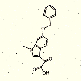 Cn1cc(C(=O)C(=O)O)c2ccc(OCc3ccccc3)cc21